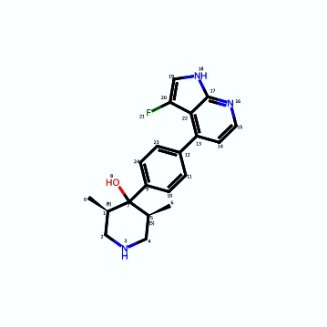 C[C@@H]1CNC[C@H](C)C1(O)c1ccc(-c2ccnc3[nH]cc(F)c23)cc1